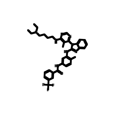 CCN(CC)CCCCNc1ncnc(-n2c(Nc3cc(NC(=O)c4cccc(C(F)(F)F)c4)ccc3C)nc3ccccc32)c1C